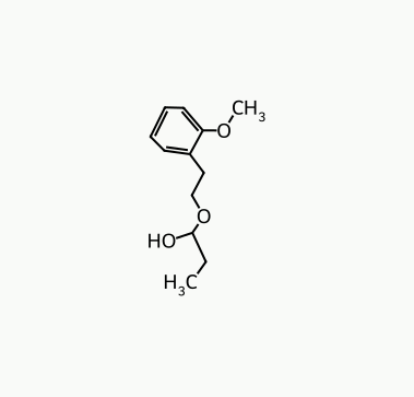 CCC(O)OCCc1ccccc1OC